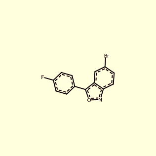 Fc1ccc(-c2onc3ccc(Br)cc23)cc1